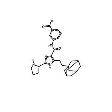 CN1CCCC1c1nc(C(=O)Nc2cccc(C(=O)O)c2)c(CCC23CC4CC(CC(C4)C2)C3)[nH]1